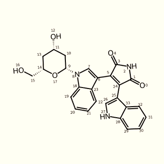 O=C1NC(=O)C(c2cn([C@H]3C[C@@H](O)C[C@@H](CO)O3)c3ccccc23)=C1c1c[nH]c2ccccc12